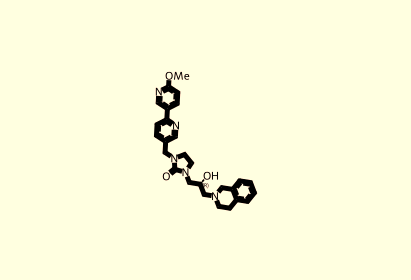 COc1ccc(-c2ccc(CN3CCN(C[C@H](O)CN4CCc5ccccc5C4)C3=O)cn2)cn1